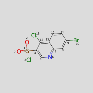 O=S(=O)(Cl)c1cnc2cc(Br)ccc2c1Cl